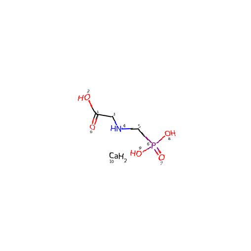 O=C(O)CNCP(=O)(O)O.[CaH2]